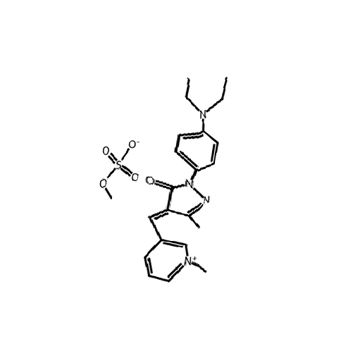 CCN(CC)c1ccc(N2N=C(C)/C(=C\c3ccc[n+](C)c3)C2=O)cc1.COS(=O)(=O)[O-]